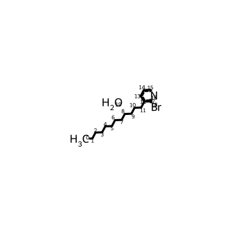 CCCCCCCCCCCCc1cccnc1Br.O